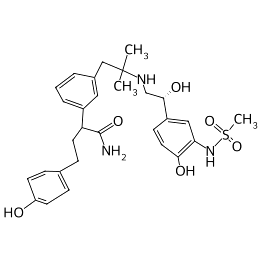 CC(C)(Cc1cccc(C(CCc2ccc(O)cc2)C(N)=O)c1)NC[C@H](O)c1ccc(O)c(NS(C)(=O)=O)c1